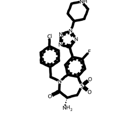 N[C@H]1CS(=O)(=O)c2cc(F)c(-c3nnn(C4CCNCC4)n3)cc2N(Cc2ccc(Cl)cc2)C1=O